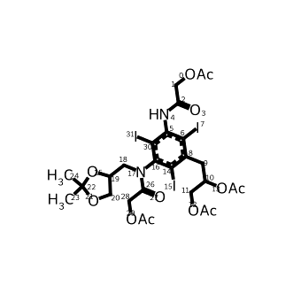 CC(=O)OCC(=O)Nc1c(I)c(CC(COC(C)=O)OC(C)=O)c(I)c(N(CC2COC(C)(C)O2)C(=O)COC(C)=O)c1I